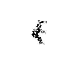 C#CC(=O)N1CCN(c2ncc(-c3cc(-c4cnn(C)c4)cn4ncc(C#N)c34)cc2OC)CC1